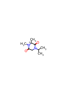 CC(C)N1CC(=O)N(C)[C@@H](C)C1=O